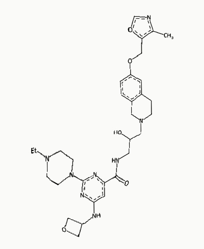 CCN1CCN(c2nc(NC3COC3)cc(C(=O)NCC(O)CN3CCc4cc(OCc5ocnc5C)ccc4C3)n2)CC1